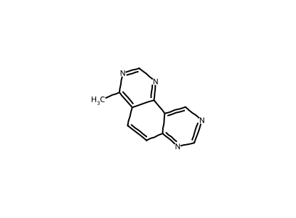 Cc1ncnc2c1ccc1ncncc12